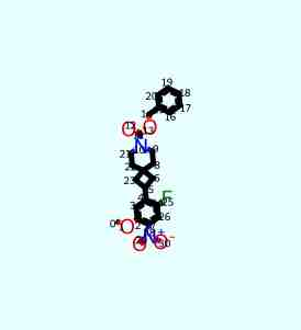 COc1cc(C2CC3(CCN(C(=O)OCc4ccccc4)CC3)C2)c(F)cc1[N+](=O)[O-]